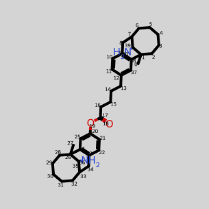 CC12CCCCCC(Cc3ccc(CCCCC(=O)Oc4ccc5c(c4)C4(C)CCCCCC(C5)C4N)cc31)C2N